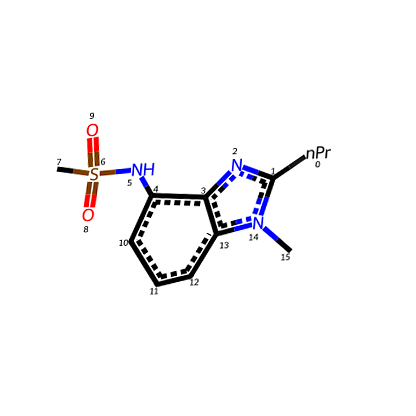 CCCc1nc2c(NS(C)(=O)=O)cccc2n1C